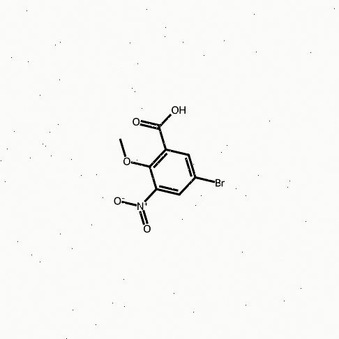 COc1c(C(=O)O)cc(Br)cc1[N+](=O)[O-]